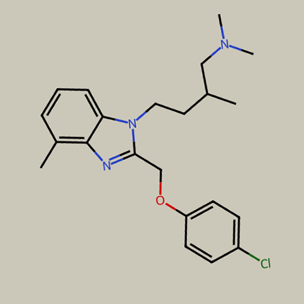 Cc1cccc2c1nc(COc1ccc(Cl)cc1)n2CCC(C)CN(C)C